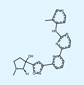 [2H][C@H]1N(C)CCC1(O)c1cc(-c2cccc(-c3ccnc(Nc4ccncc4C)n3)n2)no1